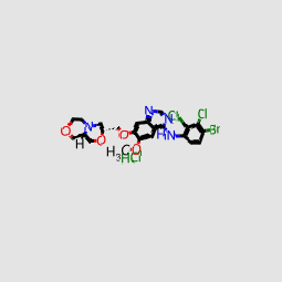 COc1cc2c(Nc3ccc(Br)c(Cl)c3Cl)ncnc2cc1OC[C@H]1CN2CCOC[C@H]2CO1.Cl